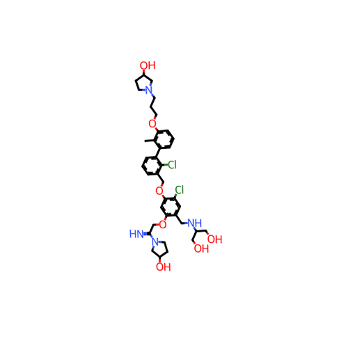 Cc1c(OCCCN2CCC(O)C2)cccc1-c1cccc(COc2cc(OCC(=N)N3CCC(O)C3)c(CNC(CO)CO)cc2Cl)c1Cl